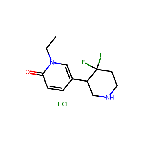 CCn1cc(C2CNCCC2(F)F)ccc1=O.Cl